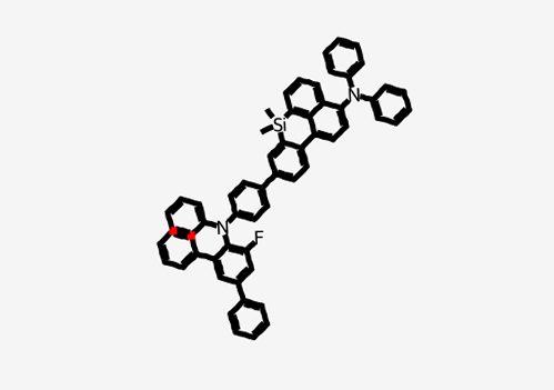 C[Si]1(C)c2cc(-c3ccc(N(c4ccccc4)c4c(F)cc(-c5ccccc5)cc4-c4ccccc4)cc3)ccc2-c2ccc(N(c3ccccc3)c3ccccc3)c3cccc1c23